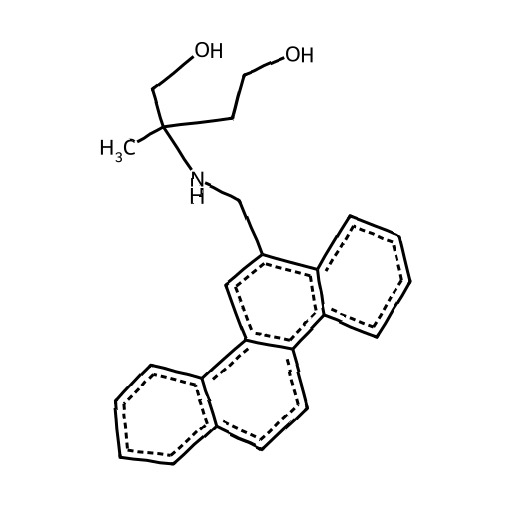 CC(CO)(CCO)NCc1cc2c3ccccc3ccc2c2ccccc12